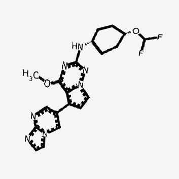 COc1nc(N[C@H]2CC[C@@H](OC(F)F)CC2)nn2ccc(-c3cnc4nccn4c3)c12